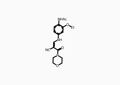 CCOc1cc(NC=C(C#N)C(=O)N2CCOCC2)ccc1NC(C)=O